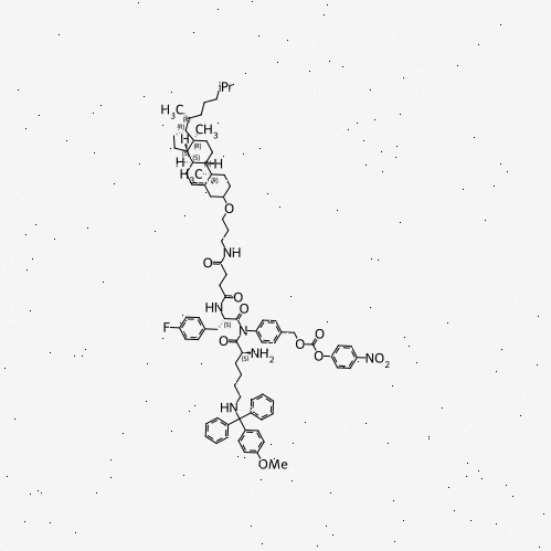 COc1ccc(C(NCCCC[C@H](N)C(=O)N(C(=O)[C@H](Cc2ccc(F)cc2)NC(=O)CCC(=O)NCCCOC2CC[C@@]3(C)C(=CC[C@H]4[C@@H]5CC[C@H]([C@H](C)CCCC(C)C)[C@@]5(C)CC[C@@H]43)C2)c2ccc(COC(=O)Oc3ccc([N+](=O)[O-])cc3)cc2)(c2ccccc2)c2ccccc2)cc1